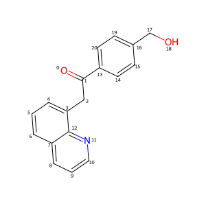 O=C(Cc1cccc2cccnc12)c1ccc(CO)cc1